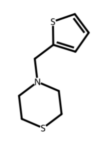 c1csc(CN2CCSCC2)c1